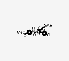 COC(=O)c1ccc(NC(=O)N2CC(C)(CCCSC)C(c3ccc(Cl)cc3)=N2)cc1